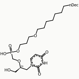 CCCCCCCCCCCCCCCCCOCCCOP(=O)(O)CO[C@H](CO)Cn1ccc(=O)[nH]c1=O